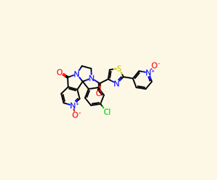 O=C(c1csc(-c2ccc[n+]([O-])c2)n1)N1CCN2C(=O)c3cc[n+]([O-])cc3C12c1ccc(Cl)cc1